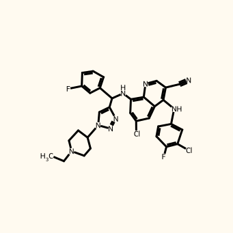 CCN1CCC(n2cc(C(Nc3cc(Cl)cc4c(Nc5ccc(F)c(Cl)c5)c(C#N)cnc34)c3cccc(F)c3)nn2)CC1